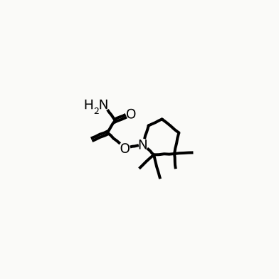 C=C(ON1CCCC(C)(C)C1(C)C)C(N)=O